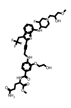 COCC(O)CN1CCC(Nc2cccc3c(CC(F)(F)F)c(C#CCNc4ccc(C(=O)NC(CCC(N)=O)C(=O)OC)cc4OCCO)sc23)C(F)C1